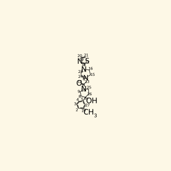 Cc1cccc(C2(O)CCN(C(=O)CN3CCN(c4nccs4)CC3)CC2)c1